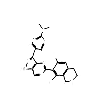 CN(C)c1ncc(-c2n[nH]c3cnc(-c4c(F)cc5c(c4F)CNCC5)nc23)cn1